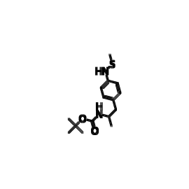 CSNc1ccc(CC(C)NC(=O)OC(C)(C)C)cc1